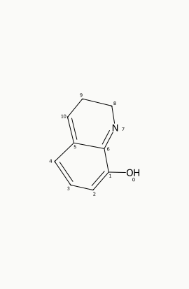 Oc1cccc2c1=NCCC=2